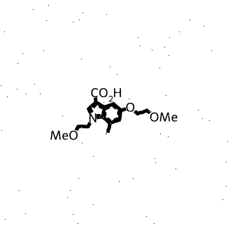 COCCOc1cc(C)c2c(c1)c(C(=O)O)cn2CCOC